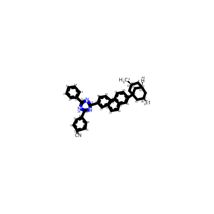 CC[C@@H]1C[C@@H]2C[C@H](C)CC(c3ccc4c(ccc5cc(-c6nc(-c7ccccc7)nc(-c7ccc(C#N)cc7)n6)ccc54)c3)(C1)C2